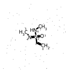 C=CS(=O)(=NC)NC